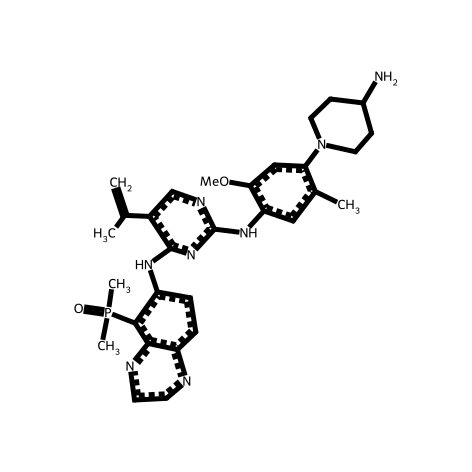 C=C(C)c1cnc(Nc2cc(C)c(N3CCC(N)CC3)cc2OC)nc1Nc1ccc2nccnc2c1P(C)(C)=O